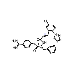 N=C(N)c1ccc(NC(=O)[C@H](Cc2ccccc2)NC(=O)/C=C/c2cc(Cl)ccc2-n2cnnn2)cc1